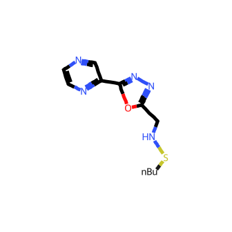 CCCCSNCc1nnc(-c2cnccn2)o1